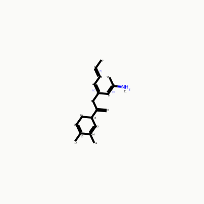 C=C(CC(=C/C=C/C)/C=C(\C)N)C1C=C(C)C(C)=CC1